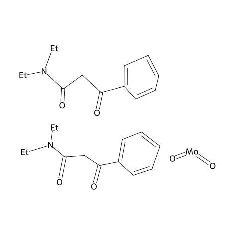 CCN(CC)C(=O)CC(=O)c1ccccc1.CCN(CC)C(=O)CC(=O)c1ccccc1.[O]=[Mo]=[O]